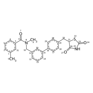 Cc1cccc(C(=O)N(C)Cc2cccc(-c3ccc(CC4SC(=O)NC4=O)cc3)c2)c1